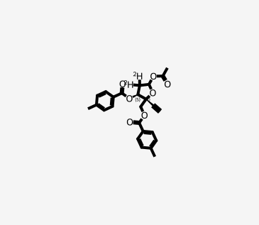 [2H]C1([2H])C(OC(C)=O)O[C@](C#C)(COC(=O)c2ccc(C)cc2)[C@H]1OC(=O)c1ccc(C)cc1